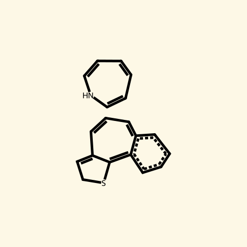 C1=CC2=CCSC2=c2ccccc2=C1.C1=CC=CNC=C1